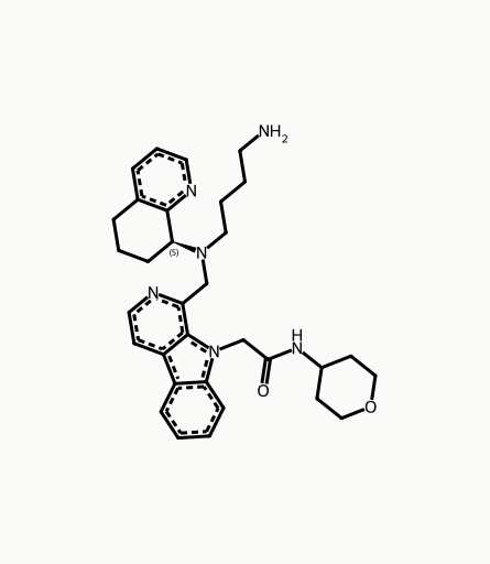 NCCCCN(Cc1nccc2c3ccccc3n(CC(=O)NC3CCOCC3)c12)[C@H]1CCCc2cccnc21